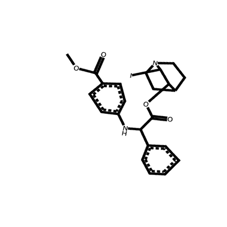 COC(=O)c1ccc(NC(C(=O)OC2C3CCN(CC3)C2I)c2ccccc2)cc1